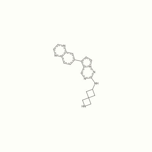 c1cnc2cc(-c3ccn4nc(NC5CC6(CNC6)C5)ncc34)ccc2n1